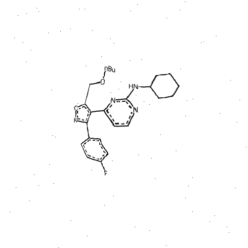 CCCCOCc1onc(-c2ccc(F)cc2)c1-c1ccnc(NC2CCCCC2)n1